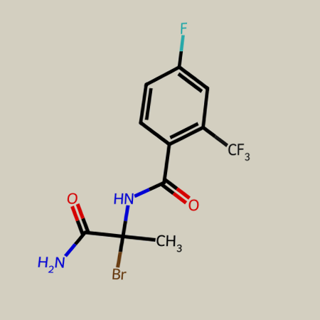 CC(Br)(NC(=O)c1ccc(F)cc1C(F)(F)F)C(N)=O